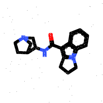 O=C(NC1CN2CCC1C2)c1c2n(c3ccccc13)CCC2